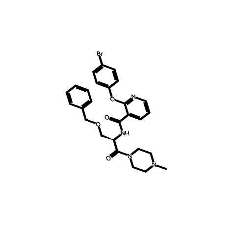 CN1CCN(C(=O)[C@@H](COCc2ccccc2)NC(=O)c2cccnc2Oc2ccc(Br)cc2)CC1